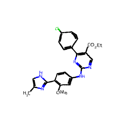 CCOC(=O)c1cnc(Nc2ccc(-c3nc(C)c[nH]3)c(OC)c2)nc1-c1ccc(Cl)cc1